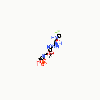 COc1cc2c(Nc3cc(CC(=O)Nc4cccc(F)c4F)[nH]n3)ncnc2cc1OCCCN(CCOP(=O)(O)O)CC1CCC1